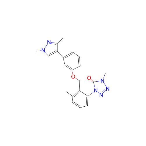 Cc1cccc(-n2nnn(C)c2=O)c1COc1cccc(-c2cn(C)nc2C)c1